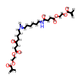 C=C(C)C(=O)OCCOC(=O)CCC(=O)CCCCN(C)CCCCCCNC(=O)CCC(=O)OCCOC(=O)C(=C)C